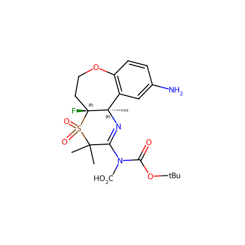 CC(C)(C)OC(=O)N(C(=O)O)C1=N[C@]2(C)c3cc(N)ccc3OCC[C@@]2(F)S(=O)(=O)C1(C)C